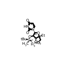 CC[C@]1(CO)O[C@@H](n2ccc(=O)[nH]c2=O)C(O[Si](C)(C)C(C)(C)C)[C@@H]1C